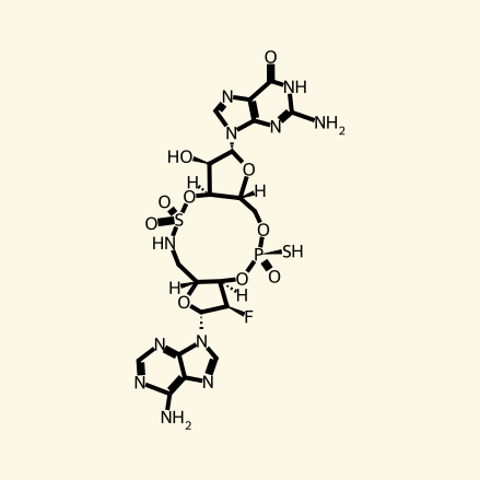 Nc1nc2c(ncn2[C@@H]2O[C@@H]3CO[P@@](=O)(S)O[C@H]4[C@@H](F)[C@H](n5cnc6c(N)ncnc65)O[C@@H]4CNS(=O)(=O)O[C@H]3[C@H]2O)c(=O)[nH]1